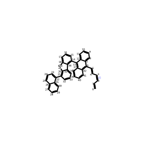 C=C/C=C\C=Cc1c2ccccc2c(-c2cccc3sc4c(-c5cccc6ccccc56)cccc4c23)c2ccccc12